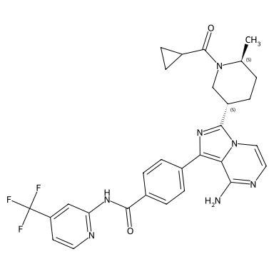 C[C@H]1CC[C@H](c2nc(-c3ccc(C(=O)Nc4cc(C(F)(F)F)ccn4)cc3)c3c(N)nccn23)CN1C(=O)C1CC1